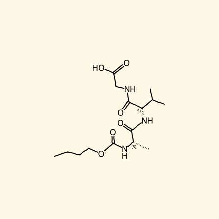 CCCCOC(=O)N[C@@H](C)C(=O)N[C@H](C(=O)NCC(=O)O)C(C)C